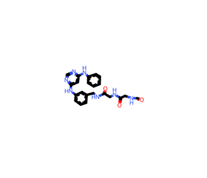 O=CNCC(=O)NCC(=O)NCc1cccc(Nc2cc(Nc3ccccc3)ncn2)c1